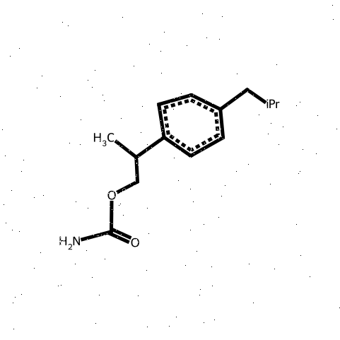 CC(C)Cc1ccc(C(C)COC(N)=O)cc1